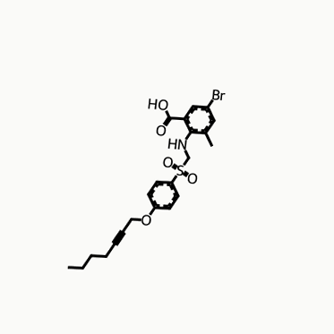 CCCCC#CCOc1ccc(S(=O)(=O)CNc2c(C)cc(Br)cc2C(=O)O)cc1